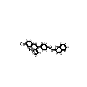 Clc1ccc(C=C(c2ccc(OCc3ccc4ccccc4n3)cc2)c2ccn[nH]2)cc1